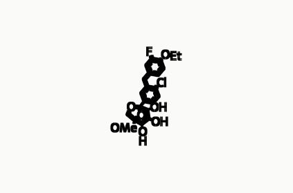 CCOc1ccc(Cc2cc([C@]34OC[C@](OC)(O3)[C@@H](O)[C@H](O)[C@H]4O)ccc2Cl)cc1F